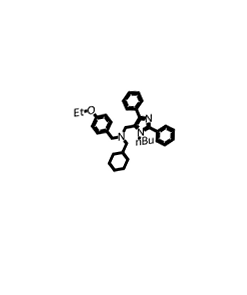 CCCCn1c(-c2ccccc2)nc(-c2ccccc2)c1CN(Cc1ccc(OCC)cc1)CC1CCCCC1